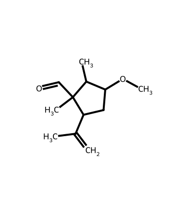 C=C(C)C1CC(OC)C(C)C1(C)C=O